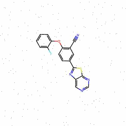 N#Cc1cc(-c2nc3cncnc3s2)ccc1Oc1ccccc1F